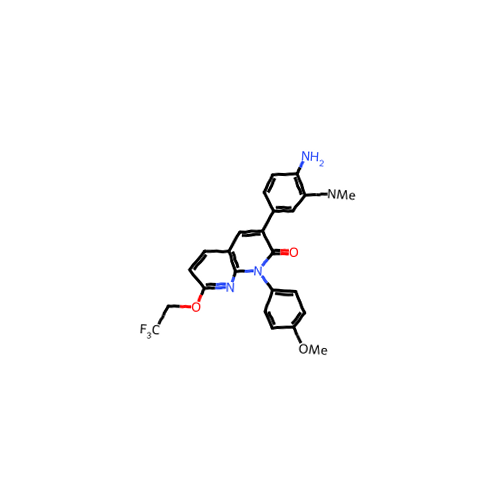 CNc1cc(-c2cc3ccc(OCC(F)(F)F)nc3n(-c3ccc(OC)cc3)c2=O)ccc1N